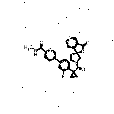 CNC(=O)c1ccc(-c2ccc(C3(C(=O)N4CCC5(C4)OC(=O)c4cnccc45)CC3)c(F)c2)cn1